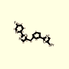 CC(C)c1cnc(-c2cccc(Cc3cnc(-c4ccc(F)cn4)o3)c2)o1